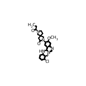 C=CC(=O)N1CCC2(CC(=O)N(c3cc4c(Nc5cccc(Cl)c5F)ncnc4cc3OC)C2)C1